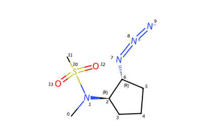 CN([C@@H]1CCC[C@H]1N=[N+]=[N-])S(C)(=O)=O